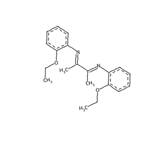 CCOc1ccccc1N=C(C)C(C)=Nc1ccccc1OCC